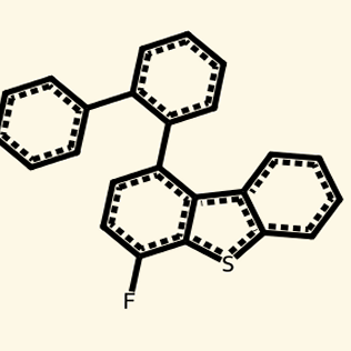 Fc1ccc(-c2ccccc2-c2ccccc2)c2c1sc1ccccc12